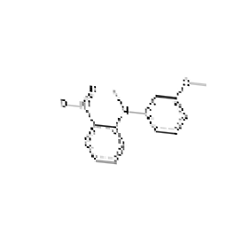 COc1cccc(N(C)c2ccccc2[N+](=O)[O-])c1